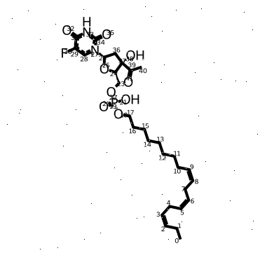 CC/C=C\C/C=C\C/C=C\CCCCCCCCOP(=O)(O)OC[C@H]1O[C@@H](n2cc(F)c(=O)[nH]c2=O)C[C@@]1(O)C(C)=O